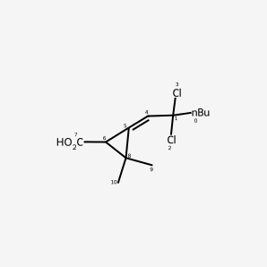 CCCCC(Cl)(Cl)C=C1C(C(=O)O)C1(C)C